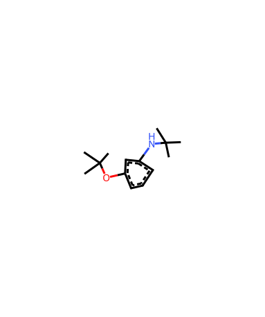 CC(C)(C)Nc1cccc(OC(C)(C)C)c1